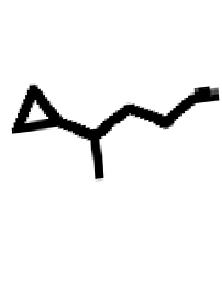 CCC(C)CCC(C)C1CC1